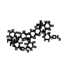 Cc1cccc(N(c2ccc3cc4c5ccc(N(c6cccc(C)c6)c6ccccc6C(F)(F)F)cc5n(-c5ccccc5)c4cc3c2)c2ccccc2C(F)(F)F)c1